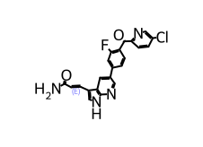 NC(=O)/C=C/c1c[nH]c2ncc(-c3ccc(C(=O)c4ccc(Cl)cn4)c(F)c3)cc12